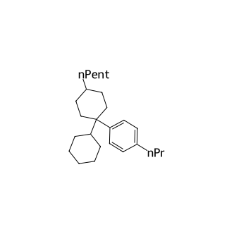 CCCCCC1CCC(c2ccc(CCC)cc2)(C2CCCCC2)CC1